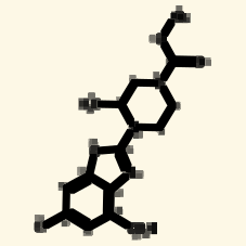 CC1CN(C(=O)OC(C)(C)C)CCN1c1nc2c(C(=O)O)cc(Cl)cc2o1